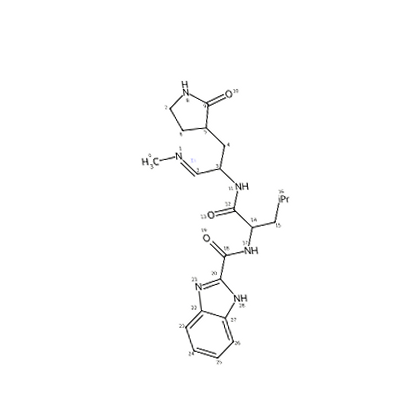 C/N=C/C(CC1CCNC1=O)NC(=O)C(CC(C)C)NC(=O)c1nc2ccccc2[nH]1